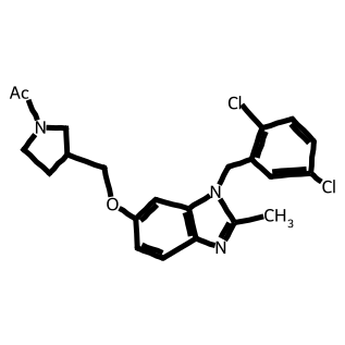 CC(=O)N1CCC(COc2ccc3nc(C)n(Cc4cc(Cl)ccc4Cl)c3c2)C1